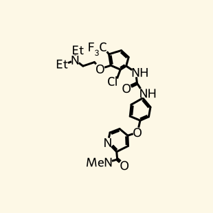 CCN(CC)CCOc1c(C(F)(F)F)ccc(NC(=O)Nc2ccc(Oc3ccnc(C(=O)NC)c3)cc2)c1Cl